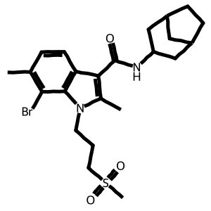 Cc1ccc2c(C(=O)NC3CC4CCC(C4)C3)c(C)n(CCCS(C)(=O)=O)c2c1Br